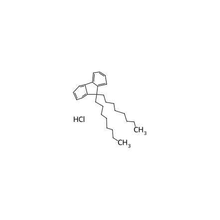 CCCCCCCCC1(CCCCCCCC)c2ccccc2-c2ccccc21.Cl